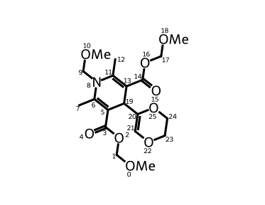 COCOC(=O)C1=C(C)N(COC)C(C)=C(C(=O)OCOC)C1C1=COCCO1